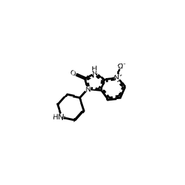 O=c1[nH]c2c(ccc[n+]2[O-])n1C1CCNCC1